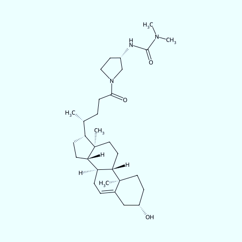 C[C@H](CCC(=O)N1CC[C@H](NC(=O)N(C)C)C1)[C@H]1CC[C@H]2[C@@H]3CC=C4C[C@@H](O)CC[C@]4(C)[C@H]3CC[C@]12C